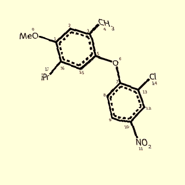 COc1cc(C)c(Oc2ccc([N+](=O)[O-])cc2Cl)cc1C(C)C